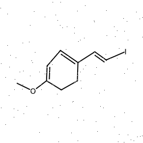 COC1=CC=C(/C=C/I)CC1